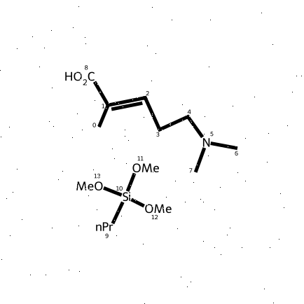 CC(=CCCN(C)C)C(=O)O.CCC[Si](OC)(OC)OC